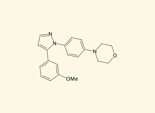 COc1cccc(-c2ccnn2-c2ccc(N3CCOCC3)cc2)c1